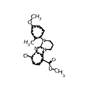 COC(=O)c1ccc(Cl)c2nc3n(c12)CCCN3c1ccc(OC)cc1C